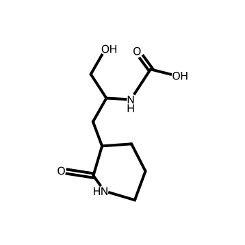 O=C(O)NC(CO)CC1CCCNC1=O